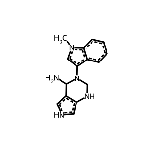 Cn1cc(N2CNc3c[nH]cc3C2N)c2ccccc21